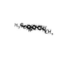 CCCCC[SiH]1CCC(c2ccc(-c3ccc(OCCC)cc3F)c(F)c2)CC1